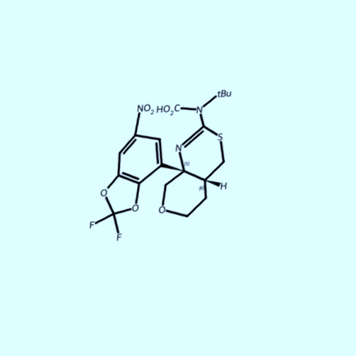 CC(C)(C)N(C(=O)O)C1=N[C@@]2(c3cc([N+](=O)[O-])cc4c3OC(F)(F)O4)COCC[C@H]2CS1